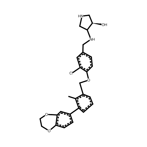 Cc1c(COc2ccc(CNC3CNC[C@H]3O)cc2Cl)cccc1-c1ccc2c(c1)OCCO2